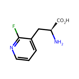 N[C@@H](Cc1cccnc1F)C(=O)O